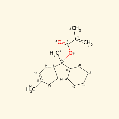 C=C(C)C(=O)OC(C)(C1CC=C(C)CC1)C1CCCCC1